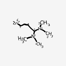 CN(C)C(C[CH2][Zn+])N(C)C